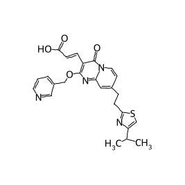 CC(C)c1csc(CCc2ccn3c(=O)c(/C=C/C(=O)O)c(OCc4cccnc4)nc3c2)n1